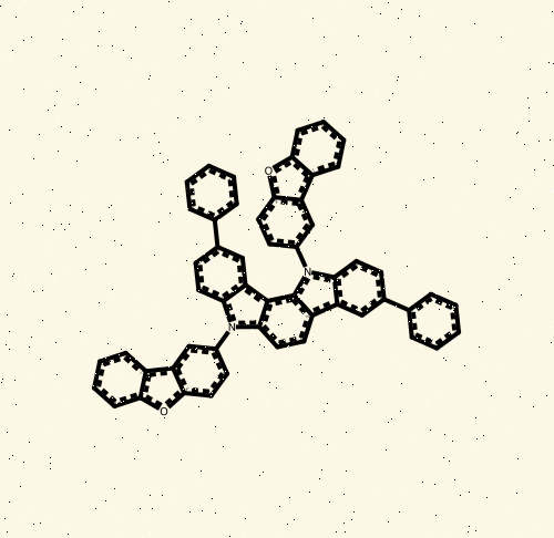 c1ccc(-c2ccc3c(c2)c2c(ccc4c5cc(-c6ccccc6)ccc5n(-c5ccc6oc7ccccc7c6c5)c42)n3-c2ccc3oc4ccccc4c3c2)cc1